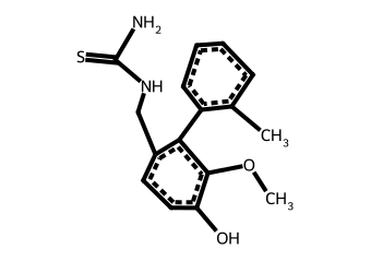 COc1c(O)ccc(CNC(N)=S)c1-c1ccccc1C